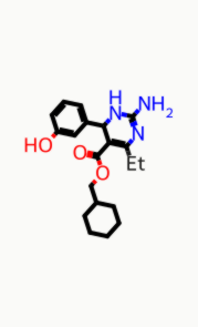 CCC1=C(C(=O)OCC2CCCCC2)C(c2cccc(O)c2)NC(N)=N1